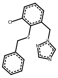 Clc1cccc(Cn2cncn2)c1SCc1ccccc1